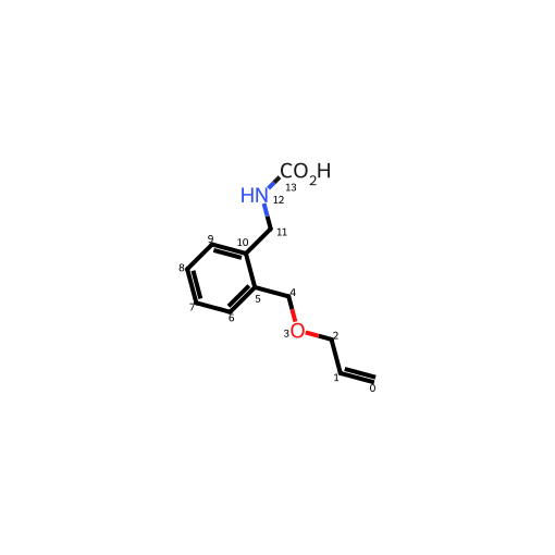 C=CCOCc1ccccc1CNC(=O)O